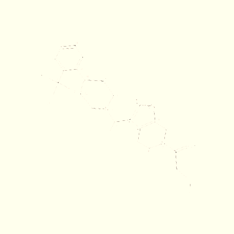 COCC(=O)N1CCc2c(C(O)N3CCC(c4ccccc4C(F)(F)F)CC3)n[nH]c2C1